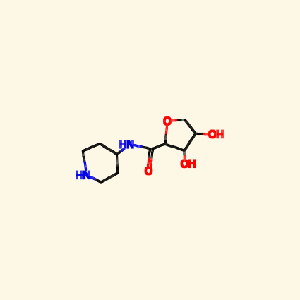 O=C(NC1CCNCC1)C1OCC(O)C1O